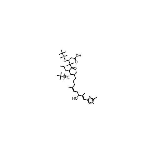 CCC[C@@H](C(=O)C(C)(C)[C@H](CC(=O)O)O[Si](C)(C)C(C)(C)C)[C@@H](O[Si](C)(C)C(C)(C)C)[C@@H](C)CCCC(C)=CC[C@H](O)/C(C)=C/c1csc(C)n1